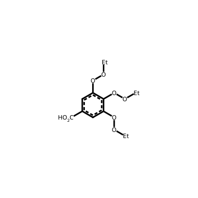 CCOOc1cc(C(=O)O)cc(OOCC)c1OOCC